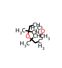 CCC(C)(C)OC(C)(C)CC.COC